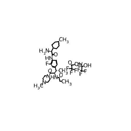 CCC(=O)N[C@@H](C(=O)N1CCN(C)CC1)[C@@H](C)c1ccc(NC(=O)[C@@H](N)C2CCC(C)CC2)c(F)c1.O=C(O)C(F)(F)F.O=C(O)C(F)(F)F